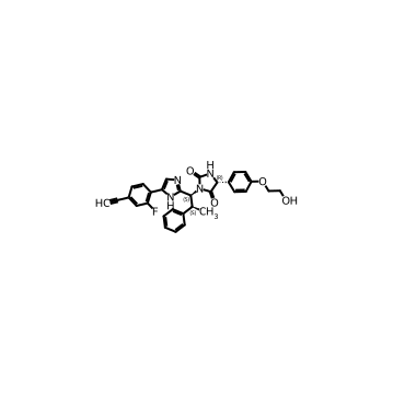 C#Cc1ccc(-c2cnc([C@H]([C@@H](C)c3ccccc3)N3C(=O)N[C@H](c4ccc(OCCO)cc4)C3=O)[nH]2)c(F)c1